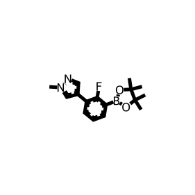 Cn1cc(-c2cccc(B3OC(C)(C)C(C)(C)O3)c2F)cn1